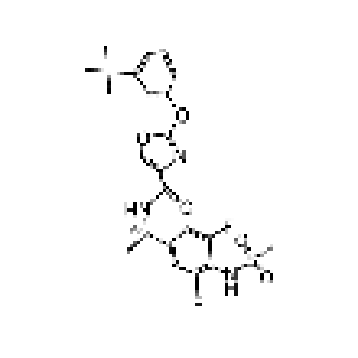 C[C@@H](NC(=O)c1coc(Oc2cccc(C(C)(C)C)c2)n1)c1cc(F)c(NS(C)(=O)=O)c(F)c1